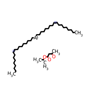 CC(=O)CC(=O)OC(C)C.CCCCCCCC/C=C\CCCCCCC[CH2][Al][CH2]CCCCCCC/C=C\CCCCCCCC